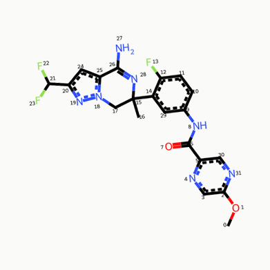 COc1cnc(C(=O)Nc2ccc(F)c(C3(C)Cn4nc(C(F)F)cc4C(N)=N3)c2)cn1